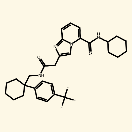 O=C(Cc1cn2c(C(=O)NC3CCCCC3)cccc2n1)NCC1(c2ccc(C(F)(F)F)cc2)CCCCC1